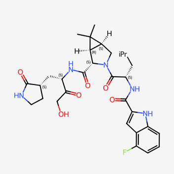 CC(C)C[C@H](NC(=O)c1cc2c(F)cccc2[nH]1)C(=O)N1C[C@H]2[C@@H]([C@H]1C(=O)N[C@@H](C[C@@H]1CCNC1=O)C(=O)CO)C2(C)C